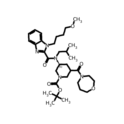 COCCCCn1c(C(=O)N(CC(C)C)[C@H]2CC(C(=O)N3CCCOCC3)CN(C(=O)OC(C)(C)C)C2)nc2ccccc21